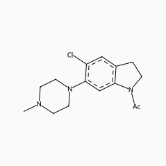 CC(=O)N1CCc2cc(Cl)c(N3CCN(C)CC3)cc21